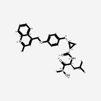 Cc1cc(COc2ccc(C[C@@H]3C[C@@H]3C(=O)N[C@@H](CC(C)C)C(=O)N(C)O)cc2)c2ccccc2n1